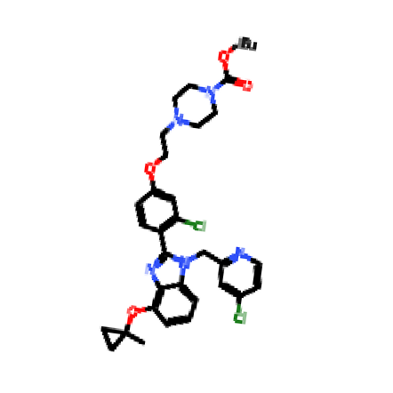 CC(C)(C)OC(=O)N1CCN(CCOc2ccc(-c3nc4c(OC5(C)CC5)cccc4n3Cc3cc(Cl)ccn3)c(Cl)c2)CC1